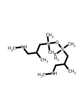 CNCC(C)C[Si](C)(C)O[Si](C)(C)CC(C)CNC